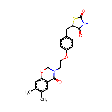 Cc1cc2c(cc1C)C(=O)N(CCOc1ccc(CC3SC(=O)NC3=O)cc1)CO2